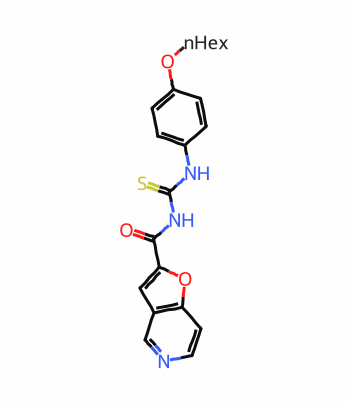 CCCCCCOc1ccc(NC(=S)NC(=O)c2cc3cnccc3o2)cc1